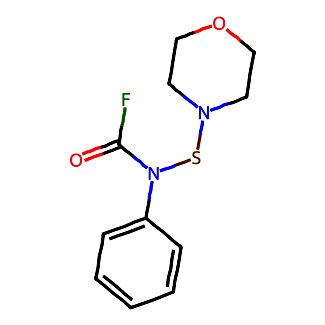 O=C(F)N(SN1CCOCC1)c1ccccc1